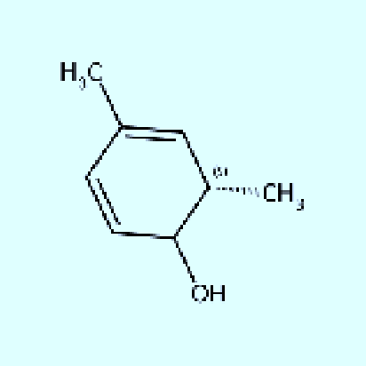 CC1=C[C@H](C)C(O)C=C1